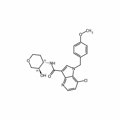 COc1ccc(Cn2cc(C(=O)N[C@H]3CCOC[C@@H]3O)c3nccc(Cl)c32)cc1